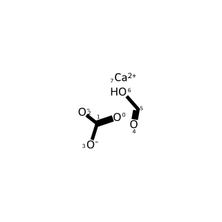 O=C([O-])[O-].O=CO.[Ca+2]